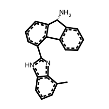 Cc1cccc2[nH]c(-c3cccc4c3-c3ccccc3[C@H]4N)nc12